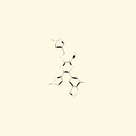 Cn1cc(CNc2nc(-c3ccn(C)n3)c(-c3cc(Cl)c4[nH]ncc4c3)nc2C#N)cn1